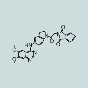 COc1cc2ncnc(Nc3ccc4c(c3)CCN4C(=O)CN3C(=O)c4ccccc4C3=O)c2cc1OC